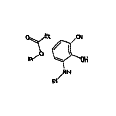 CCC(=O)OC(C)C.CCNc1cccc(C#N)c1O